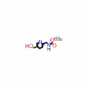 CC(C)(C)OC(=O)NCc1ccc(CO)cn1